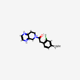 COc1ccc(CC(=O)N2CCc3nccnc3C2)c(F)c1